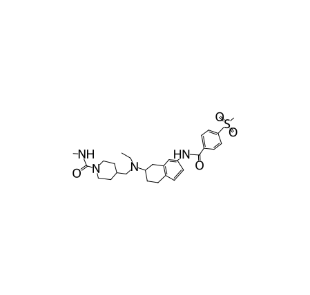 CCN(CC1CCN(C(=O)NC)CC1)C1CCc2ccc(NC(=O)c3ccc(S(C)(=O)=O)cc3)cc2C1